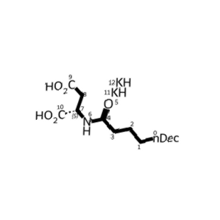 CCCCCCCCCCCCCC(=O)N[C@@H](CC(=O)O)C(=O)O.[KH].[KH]